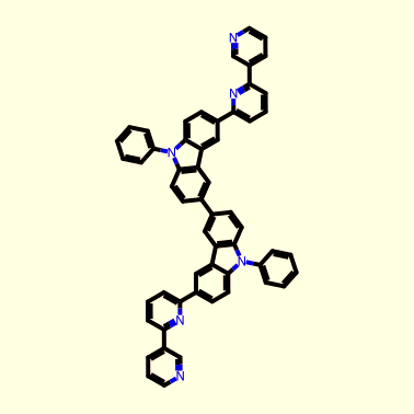 c1ccc(-n2c3ccc(-c4ccc5c(c4)c4cc(-c6cccc(-c7cccnc7)n6)ccc4n5-c4ccccc4)cc3c3cc(-c4cccc(-c5cccnc5)n4)ccc32)cc1